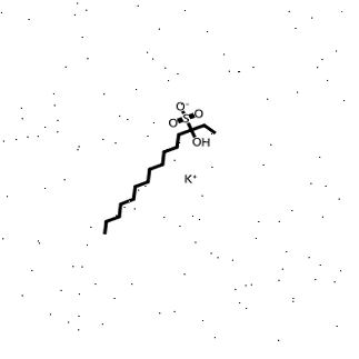 CCCCCCCCCCCCC(O)(CC)S(=O)(=O)[O-].[K+]